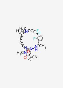 CC1CCCCCn2c(=O)nc(c3cc(C4(C#N)CC4)c(=O)n(C)c32)N[C@H](C)c2cccc(c2F)C(F)(F)CCCN1C